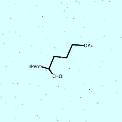 CCCCCC([C]=O)CCCOC(C)=O